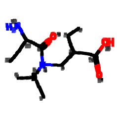 CCC(CN(B(C)C)C(=O)C(C)N)C(=O)O